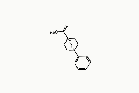 COC(=O)C12CCC(c3ccccc3)(CC1)CC2